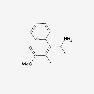 COC(=O)C(C)=C(c1ccccc1)C(C)N